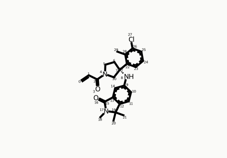 C=CC(=O)N1CC[C@@](Nc2ccc3c(c2)C(=O)N(C)C3(C)C)(c2cccc(Cl)c2C)C1